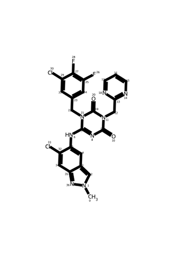 Cn1cc2cc(Nc3nc(=O)n(Cc4ncccn4)c(=O)n3Cc3cc(F)c(F)c(Cl)c3)c(Cl)cc2n1